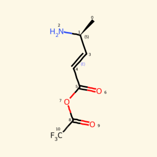 C[C@H](N)/C=C/C(=O)OC(=O)C(F)(F)F